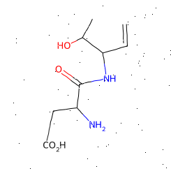 C=CC(NC(=O)C(N)CC(=O)O)C(C)O